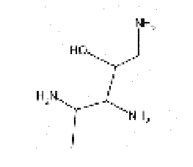 CC(N)C(N)C(O)CN